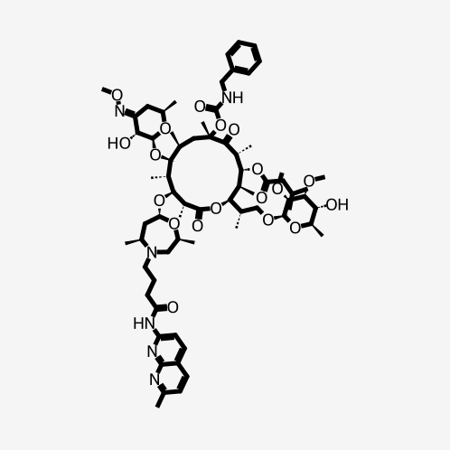 CON=C1C[C@@H](C)O[C@@H](O[C@@H]2[C@@H](C)[C@H](O[C@H]3C[C@H](C)N(CCCC(=O)Nc4ccc5ccc(C)nc5n4)C[C@H](C)O3)[C@@H](C)C(=O)O[C@H]([C@@H](C)CO[C@@H]3O[C@H](C)[C@@H](O)[C@@H](OC)[C@H]3OC)[C@H](C)[C@@H](OC(=O)CC(C)C)[C@@H](C)C(=O)[C@@](C)(OC(=O)NCc3ccccc3)C[C@@H]2C)[C@@H]1O